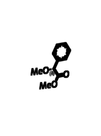 COC(=O)[C@H](OC)c1ccccc1